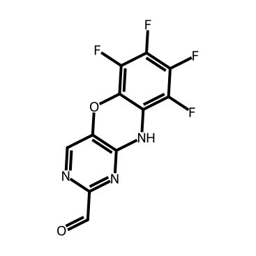 O=Cc1ncc2c(n1)Nc1c(F)c(F)c(F)c(F)c1O2